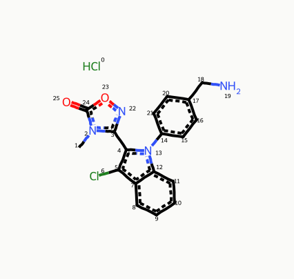 Cl.Cn1c(-c2c(Cl)c3ccccc3n2-c2ccc(CN)cc2)noc1=O